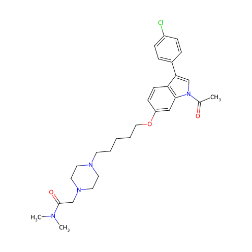 CC(=O)n1cc(-c2ccc(Cl)cc2)c2ccc(OCCCCCN3CCN(CC(=O)N(C)C)CC3)cc21